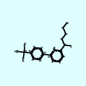 CCCCC(C)c1cccc(-c2ccc(C(F)(F)F)cc2)n1